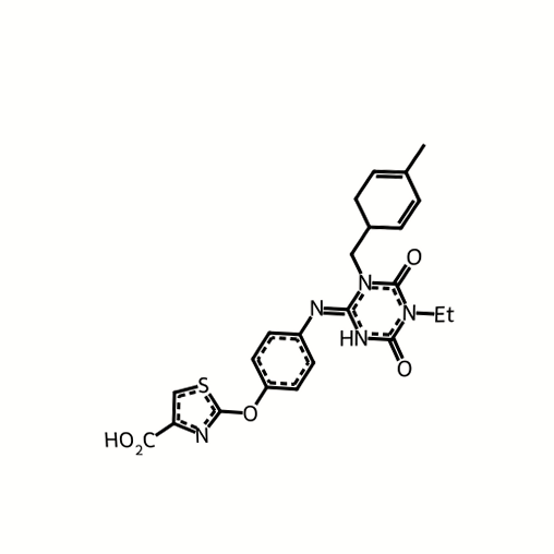 CCn1c(=O)[nH]/c(=N\c2ccc(Oc3nc(C(=O)O)cs3)cc2)n(CC2C=CC(C)=CC2)c1=O